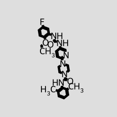 CCOc1ccc(F)cc1NC(=O)Nc1ccc(N2CCN(C(=O)Nc3c(C)cccc3C)CC2)nc1